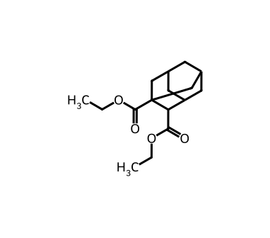 CCOC(=O)C1C2CC3CC(C2)CC1(C(=O)OCC)C3